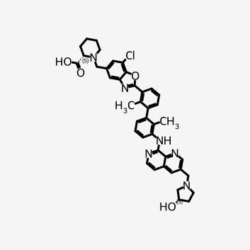 Cc1c(Nc2nccc3cc(CN4CC[C@H](O)C4)cnc23)cccc1-c1cccc(-c2nc3cc(CN4CCCC[C@H]4C(=O)O)cc(Cl)c3o2)c1C